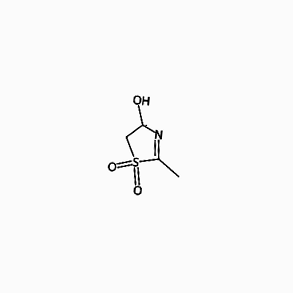 CC1=N[C](O)CS1(=O)=O